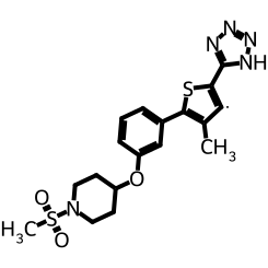 Cc1[c]c(-c2nnn[nH]2)sc1-c1cccc(OC2CCN(S(C)(=O)=O)CC2)c1